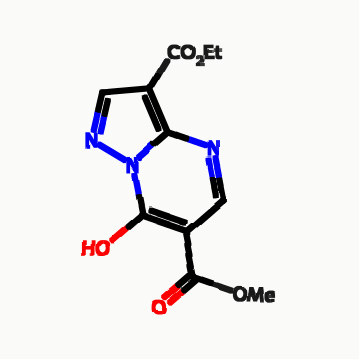 CCOC(=O)c1cnn2c(O)c(C(=O)OC)cnc12